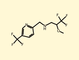 COC(CNCc1ccc(C(F)(F)F)cn1)C(F)(F)F